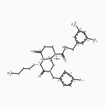 NCCCC[C@H]1C(=O)N(Cc2ccc(F)cc2)C[C@@H]2N(C(=O)NCc3cc(C(F)(F)F)cc(C(F)(F)F)c3)CCC(=O)N21